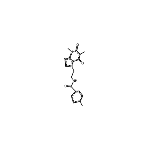 Cc1ccc(C(=O)NCCn2cnc3c2c(=O)n(C)c(=O)n3C)cc1